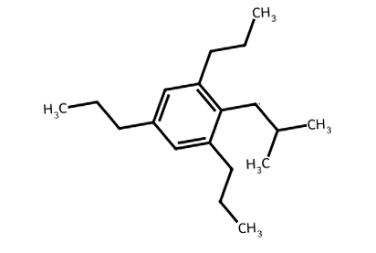 CCCc1cc(CCC)c([CH]C(C)C)c(CCC)c1